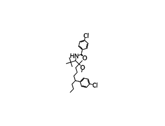 CCCC(CCCC(C)(OC)C(NC(=O)c1ccc(Cl)cc1)C(C)(C)C)c1ccc(Cl)cc1